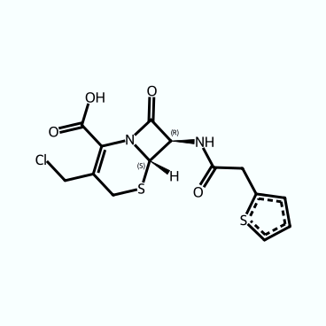 O=C(Cc1cccs1)N[C@@H]1C(=O)N2C(C(=O)O)=C(CCl)CS[C@@H]12